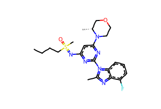 CCCCS(C)(=O)=Nc1cc(N2CCOC[C@H]2C)nc(-n2c(C)nc3c(F)cccc32)n1